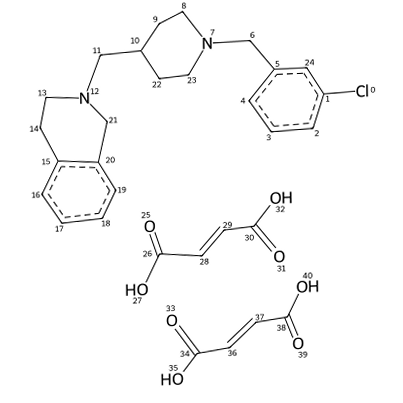 Clc1cccc(CN2CCC(CN3CCc4ccccc4C3)CC2)c1.O=C(O)C=CC(=O)O.O=C(O)C=CC(=O)O